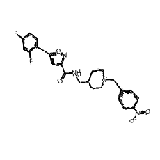 O=C(NCC1CCN(Cc2ccc([N+](=O)[O-])cc2)CC1)c1cc(-c2ccc(F)cc2F)on1